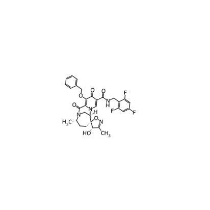 CC1=NO[C@@]2(CC[C@H](C)N3C[C@H]2n2cc(C(=O)NCc4c(F)cc(F)cc4F)c(=O)c(OCc4ccccc4)c2C3=O)[C@H]1O